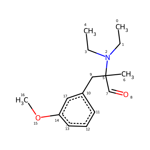 CCN(CC)C(C)(C=O)Cc1cc[c]c(OC)c1